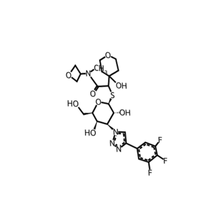 CN(C(=O)C(S[C@@H]1O[C@H](CO)[C@H](O)[C@H](n2cc(-c3cc(F)c(F)c(F)c3)nn2)[C@H]1O)C1(O)CCOCC1)C1COC1